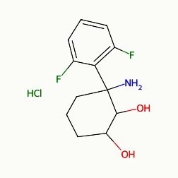 Cl.NC1(c2c(F)cccc2F)CCCC(O)C1O